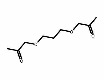 CC(=O)COCCCOCC(C)=O